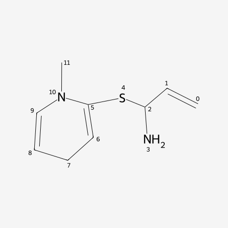 C=CC(N)SC1=CCC=CN1C